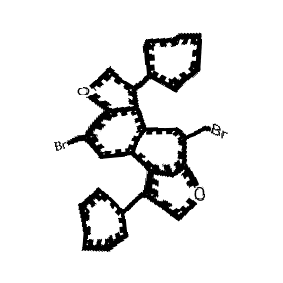 Brc1cc2c(cc(Br)c3occ(-c4ccccc4)c32)c2c(-c3ccccc3)coc12